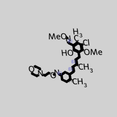 CO/N=C/c1c(C)c(Cl)c(OC)c(C/C=C(C)/C=C/C2C/C(=N/OCCN3CCOCC3)CC[C@H]2C)c1O